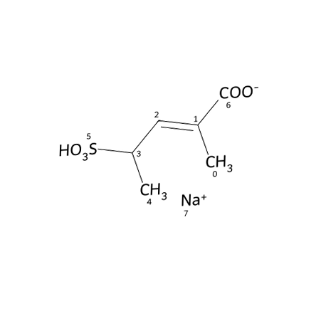 CC(=CC(C)S(=O)(=O)O)C(=O)[O-].[Na+]